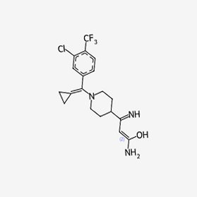 N=C(/C=C(/N)O)C1CCN(C(=C2CC2)c2ccc(C(F)(F)F)c(Cl)c2)CC1